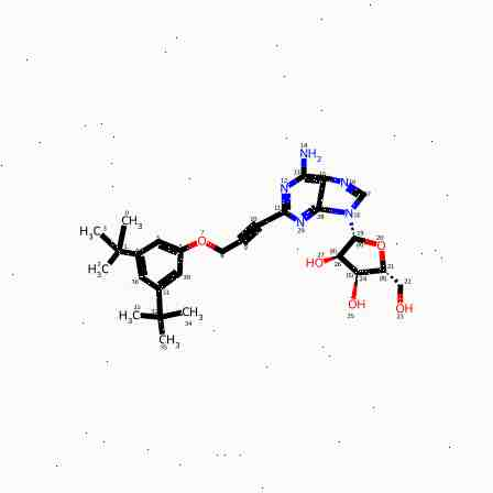 CC(C)(C)c1cc(OCC#Cc2nc(N)c3ncn([C@@H]4O[C@H](CO)[C@@H](O)[C@H]4O)c3n2)cc(C(C)(C)C)c1